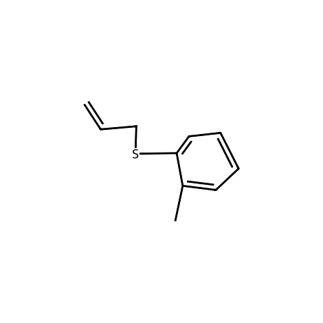 C=CCSc1ccccc1C